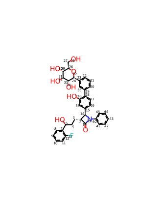 O=C1[C@H](CC[C@H](O)c2ccccc2F)[C@@H](c2ccc(-c3cccc([C@@H]4O[C@H](CO)[C@@H](O)[C@H](O)[C@H]4O)c3)c(O)c2)N1c1ccccc1